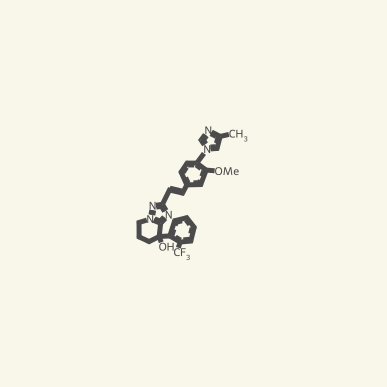 COc1cc(C=Cc2nc3n(n2)CCCC3(O)c2ccccc2C(F)(F)F)ccc1-n1cnc(C)c1